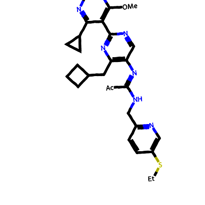 CCSc1ccc(CN/C(=N/c2cnc(-c3c(OC)ncnc3C3CC3)nc2CC2CCC2)C(C)=O)nc1